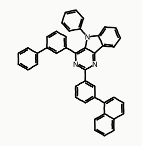 c1ccc(-c2cccc(-c3nc(-c4cccc(-c5cccc6ccccc56)c4)nc4c5ccccc5n(-c5ccccc5)c34)c2)cc1